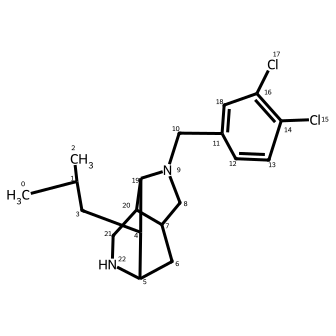 CC(C)CC1C2CC3CN(Cc4ccc(Cl)c(Cl)c4)C1C3CN2